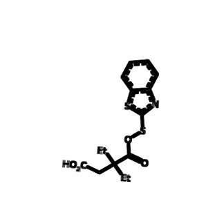 CCC(CC)(CC(=O)O)C(=O)OSc1nc2ccccc2s1